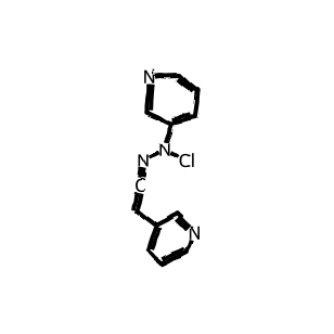 ClN(N=C=Cc1cccnc1)c1cccnc1